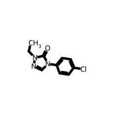 CCn1ncn(-c2ccc(Cl)cc2)c1=O